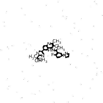 Cc1nc2ccc(-c3cnc(C(C)(C)O)nc3)cc2c(NC(C)c2cc(-n3cccn3)ccc2F)c1Cl